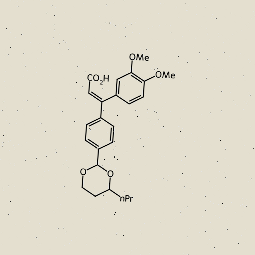 CCCC1CCOC(c2ccc(/C(=C/C(=O)O)c3ccc(OC)c(OC)c3)cc2)O1